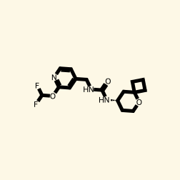 O=C(NCc1ccnc(OC(F)F)c1)N[C@H]1CCOC2(CCC2)C1